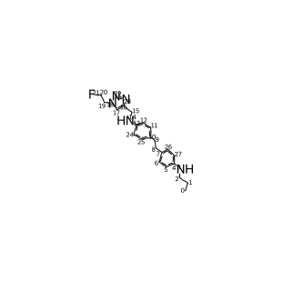 CCCNc1ccc(CCc2ccc(NCc3cn(CCF)nn3)cc2)cc1